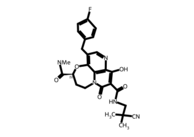 CNC(=O)[C@@H]1CCn2c(=O)c(C(=O)NCC(C)(C)C#N)c(O)c3ncc(Cc4ccc(F)cc4)c(c32)O1